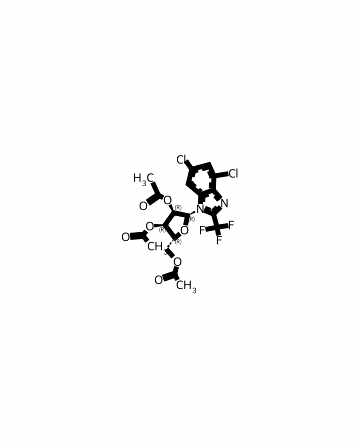 CC(=O)OC[C@H]1O[C@@H](n2c(C(F)(F)F)nc3c(Cl)cc(Cl)cc32)[C@H](OC(C)=O)[C@@H]1OC(C)=O